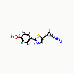 NC1CC1c1cnc(-c2ccc(O)cc2)s1